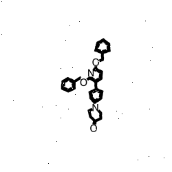 O=C1CCN(c2ccc(-c3ccc(OCc4ccccc4)nc3OCc3ccccc3)cc2)CC1